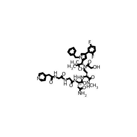 CNC(=O)[C@H](CCN(C(=O)CO)[C@@H](c1cc(-c2cc(F)ccc2F)cn1Cc1ccccc1)C(C)(C)C)NC(=O)[C@H](CC(N)=O)NC(=O)CNC(=O)CNC(=O)Cc1ccncc1